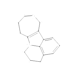 c1cc2c3c(c1)c1c(n3CCC2)CCCNC1